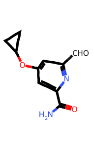 NC(=O)c1cc(OC2CC2)cc(C=O)n1